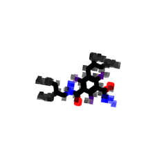 CC(=O)OCC(CNC(=O)c1c(I)c(CC(COC(C)=O)OC(C)=O)c(I)c(C(N)=O)c1I)OC(C)=O